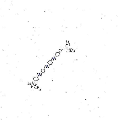 CCN(c1ccc(/N=N/c2ccc(/N=N/c3ccc(/N=N/c4ccc(OCCC(C)CC(C)(C)C)cc4)cc3)cc2)cc1)C(F)(F)C(F)(F)F